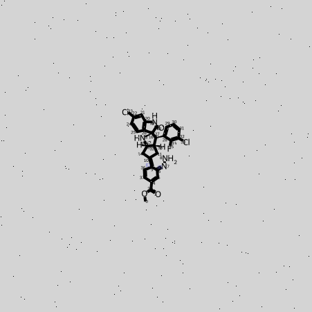 COC(=O)C1=CC(=N/N)/C(=C2\C[C@@H]3[C@H](C2)N[C@@]2(C(=O)Nc4cc(Cl)ccc42)[C@H]3c2cccc(Cl)c2F)C=C1